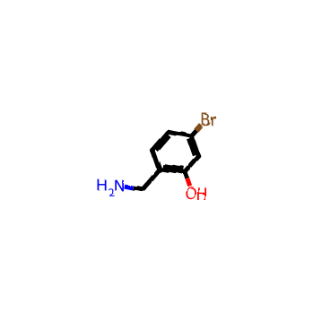 NCc1ccc(Br)cc1O